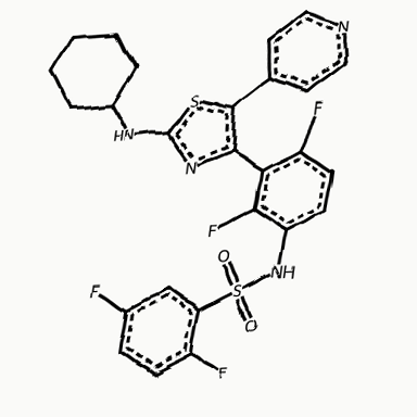 O=S(=O)(Nc1ccc(F)c(-c2nc(NC3CCCCC3)sc2-c2ccncc2)c1F)c1cc(F)ccc1F